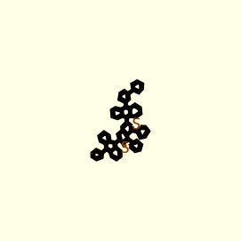 c1ccc(-c2cccc(-c3c4ccccc4c(-c4cc5cc(-c6c7ccccc7c(-c7ccccc7)c7ccccc67)c6sc7ccccc7c6c5c5c4sc4ccccc45)c4ccccc34)c2)cc1